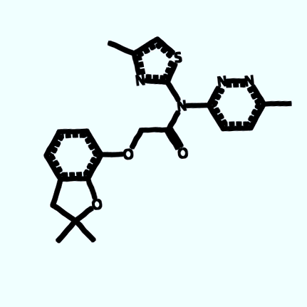 Cc1ccc(N(C(=O)COc2cccc3c2OC(C)(C)C3)c2nc(C)cs2)nn1